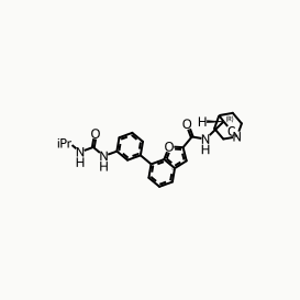 CC(C)NC(=O)Nc1cccc(-c2cccc3cc(C(=O)N[C@H]4CN5CCC4CC5)oc23)c1